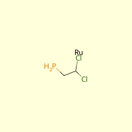 PCC(Cl)Cl.[Ru]